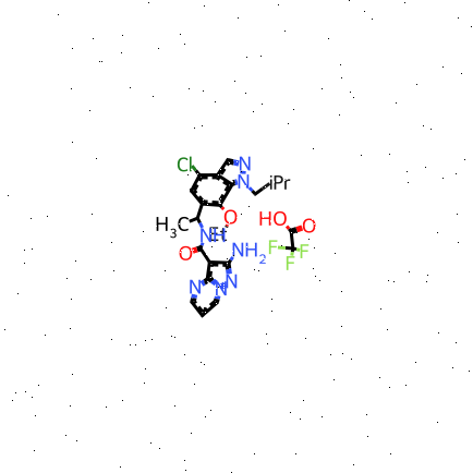 CCOc1c(C(C)NC(=O)c2c(N)nn3cccnc23)cc(Cl)c2cnn(CC(C)C)c12.O=C(O)C(F)(F)F